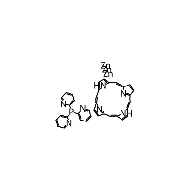 C1=Cc2cc3ccc(cc4nc(cc5ccc(cc1n2)[nH]5)C=C4)[nH]3.[Zn].[Zn].[Zn].c1ccc(P(c2ccccn2)c2ccccn2)nc1